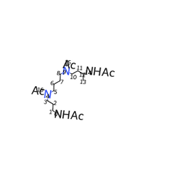 CC(=O)NCCCN(CCCCN(CCC(C)NC(C)=O)C(C)=O)C(C)=O